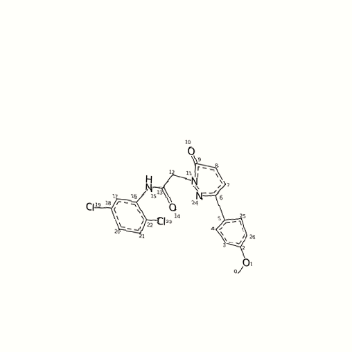 COc1ccc(-c2ccc(=O)n(CC(=O)Nc3cc(Cl)ccc3Cl)n2)cc1